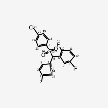 Cc1ccc(C(c2cc(F)ccc2F)S(=O)(=O)c2ccc(Cl)cc2)nc1